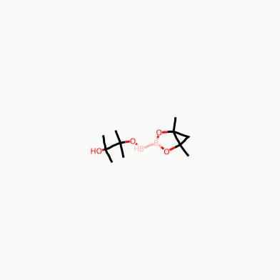 CC(C)(O)C(C)(C)OBB1OC2(C)CC2(C)O1